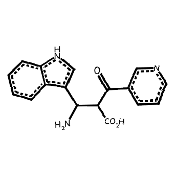 NC(c1c[nH]c2ccccc12)C(C(=O)O)C(=O)c1cccnc1